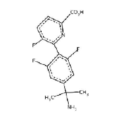 CC(C)(N)c1cc(F)c(-c2nc(C(=O)O)ccc2F)c(F)c1